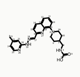 O=C(O)NCC1CCN(c2cccc3ccc(C=NNc4cc(I)ccn4)nc23)CC1